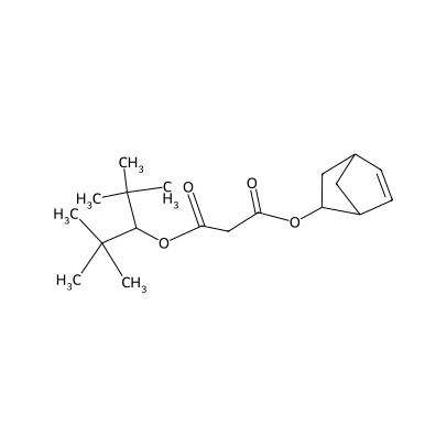 CC(C)(C)C(OC(=O)CC(=O)OC1CC2C=CC1C2)C(C)(C)C